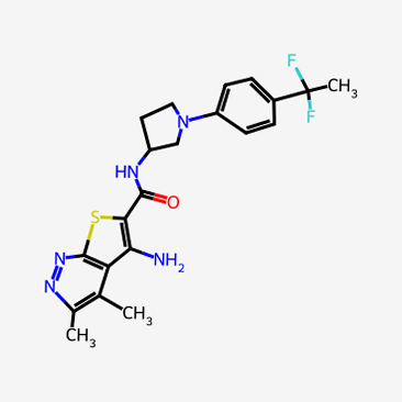 Cc1nnc2sc(C(=O)NC3CCN(c4ccc(C(C)(F)F)cc4)C3)c(N)c2c1C